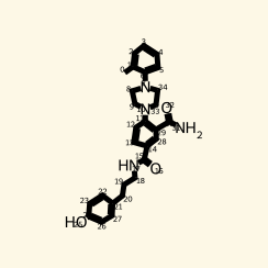 Cc1ccccc1N1CCN(c2ccc(C(=O)NCCCc3ccc(O)cc3)cc2C(N)=O)CC1